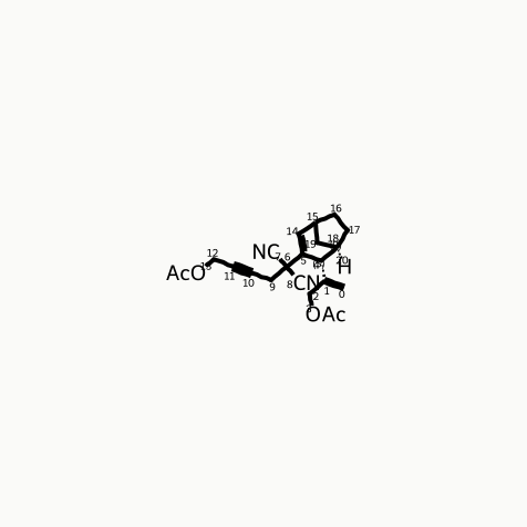 C=C(COC(C)=O)[C@@H]1C(C(C#N)(C#N)CC#CCOC(C)=O)=CC2CC[C@@H]1C2